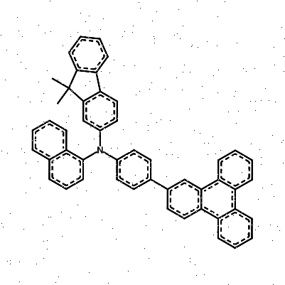 CC1(C)c2ccccc2-c2ccc(N(c3ccc(-c4ccc5c6ccccc6c6ccccc6c5c4)cc3)c3cccc4ccccc34)cc21